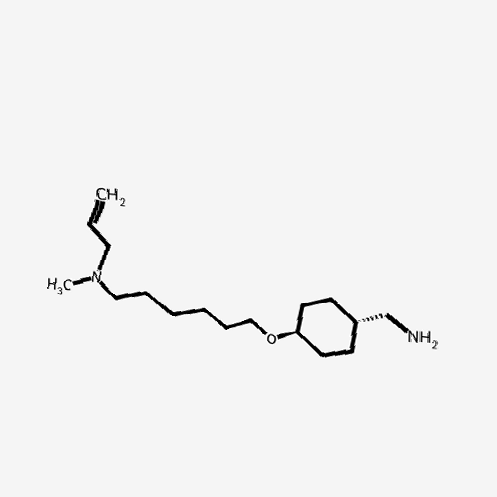 C=CCN(C)CCCCCCO[C@H]1CC[C@H](CN)CC1